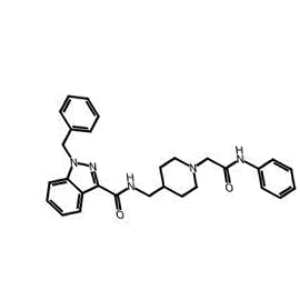 O=C(CN1CCC(CNC(=O)c2nn(Cc3ccccc3)c3ccccc23)CC1)Nc1ccccc1